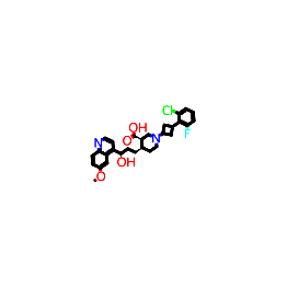 COc1ccc2nccc([C@@H](O)CC[C@@H]3CCN(C4CC(c5c(F)cccc5Cl)C4)C[C@@H]3C(=O)O)c2c1